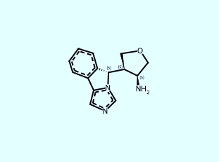 N[C@@H]1COC[C@@H]1[C@H]1c2ccccc2-c2cncn21